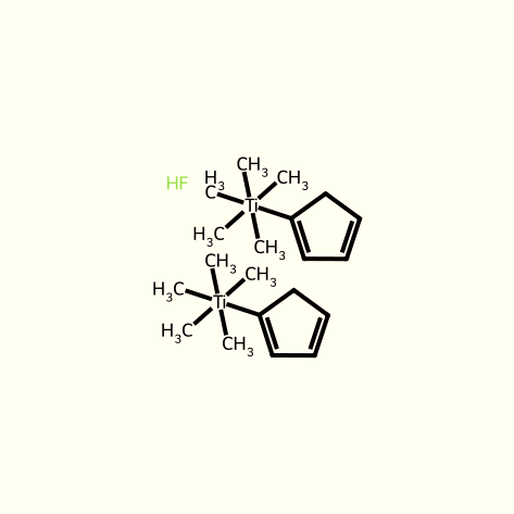 F.[CH3][Ti]([CH3])([CH3])([CH3])([CH3])[C]1=CC=CC1.[CH3][Ti]([CH3])([CH3])([CH3])([CH3])[C]1=CC=CC1